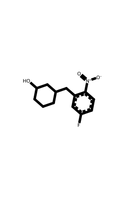 O=[N+]([O-])c1ccc(F)cc1CC1CCCC(O)C1